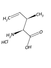 C=C[C@@H](C)[C@H](N)C(=O)O.Cl